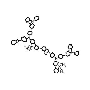 CC1(C)C2=C(C=CCC2)c2ccc(N(c3ccc(-c4ccc5c(c4)c4ccccc4n5-c4ccccc4)cc3)c3ccc(-c4cc5ccc(-c6ccc7c(c6)-c6ccc(N(c8ccc(-c9ccc%10c(c9)c9ccccc9n%10-c9ccccc9)cc8)c8ccc(-c9cc%10ccccc%10s9)cc8)cc6C7(C)C)cc5o4)cc3)cc21